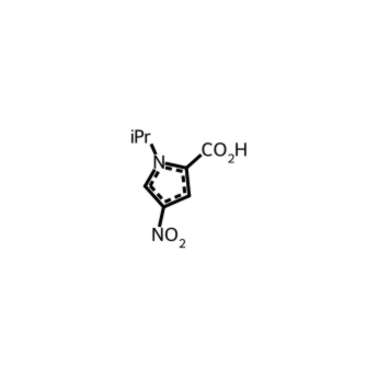 CC(C)n1cc([N+](=O)[O-])cc1C(=O)O